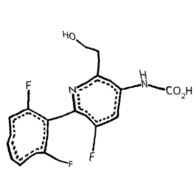 O=C(O)Nc1cc(F)c(-c2c(F)cccc2F)nc1CO